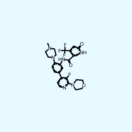 CN1CCN(c2ccc(-c3ccnc(N4CCOCC4)c3F)cc2NC(=O)c2c[nH]c(=O)cc2C(F)(F)F)CC1